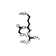 CCC(=O)O.CCCCCCCCCCCCCCSC(C)C(=O)O